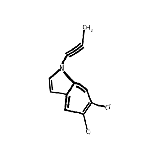 CC#Cn1ccc2cc(Cl)c(Cl)cc21